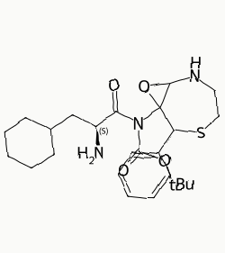 CC(C)(C)OC(=O)N(C(=O)[C@@H](N)CC1CCCCC1)C12OC1NCCSC2c1ccccc1